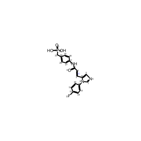 O=C(/C=C/c1cncn1-c1ccc(F)cc1)Nc1ccc(CP(=O)(O)O)cc1